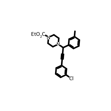 CCOC(=O)N1CCN(C(C#Cc2cccc(Cl)c2)c2cccc(C)c2)CC1